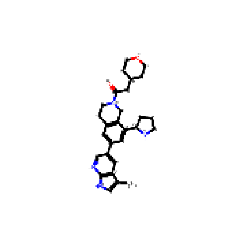 Cc1c[nH]c2ncc(-c3cc4c(c(C5CCCN5)c3)CN(C(=O)CC3CCOCC3)CC4)cc12